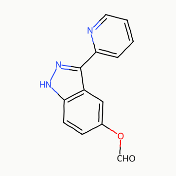 O=COc1ccc2[nH]nc(-c3ccccn3)c2c1